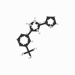 FC(F)(F)c1cccc(-c2noc(-c3cccs3)n2)c1